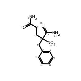 NC(=O)CCC(Cc1ccccc1)(C(N)=O)[N+](=O)[O-]